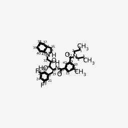 CCCN(CCC)C(=O)c1cc(C)cc(C(=O)N[C@@H](Cc2cc(F)cc(F)c2)[C@H](O)[C@H](O)CN2CCc3ccccc32)c1